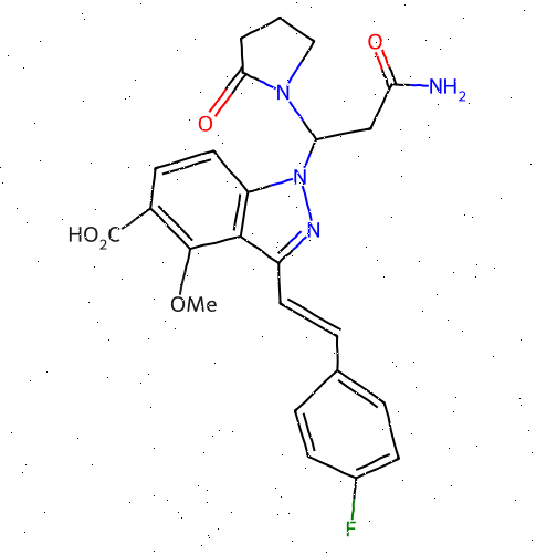 COc1c(C(=O)O)ccc2c1c(C=Cc1ccc(F)cc1)nn2C(CC(N)=O)N1CCCC1=O